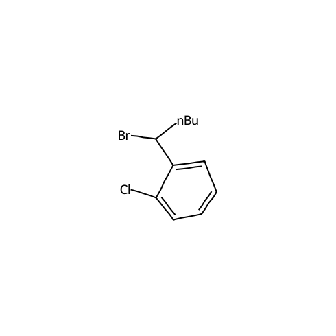 CCCCC(Br)c1ccccc1Cl